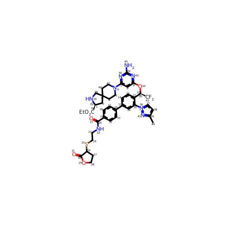 CCOC(=O)[C@@H]1CC2(CCN(c3cc(O[C@H](c4ccc(-c5ccc(C(=O)NCCSC6CCOC6=O)cc5)cc4-n4ccc(C)n4)C(F)(F)F)nc(N)n3)CC2)CN1